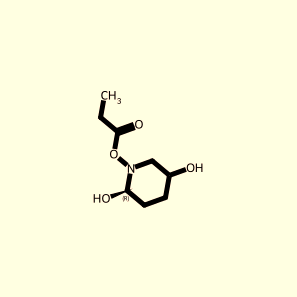 CCC(=O)ON1CC(O)CC[C@H]1O